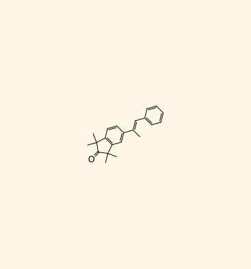 C/C(=C\c1ccccc1)c1ccc2c(c1)C(C)(C)C(=O)C2(C)C